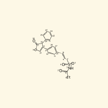 CCC(=O)NS(=O)(=O)CC=Cc1ccc(C2=COC(=O)C2c2ccccc2)cc1